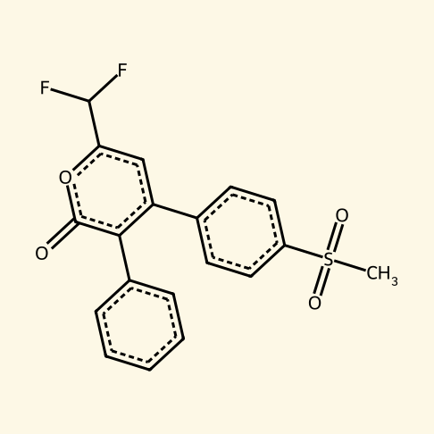 CS(=O)(=O)c1ccc(-c2cc(C(F)F)oc(=O)c2-c2ccccc2)cc1